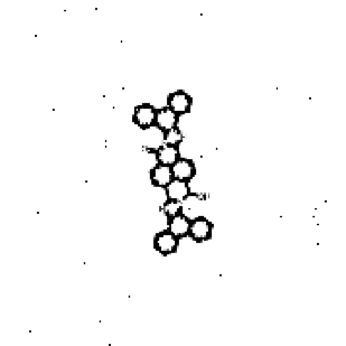 O=c1c2ccc3c4c(ccc(c42)c2nc4c5ccccc5c5ccccc5c4n12)C(O)n1c-3nc2c3ccccc3c3ccccc3c21